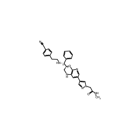 CNC(=O)Cn1cc(-c2cnc3c(c2)NC[C@@H]([C@H](NCCc2ccc(C#N)cc2)c2ccccc2)O3)cn1